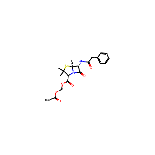 CC(C)(C)C(=O)OCOC(=O)[C@@H]1N2C(=O)[C@@H](NC(=O)Cc3ccccc3)[C@H]2SC1(C)C